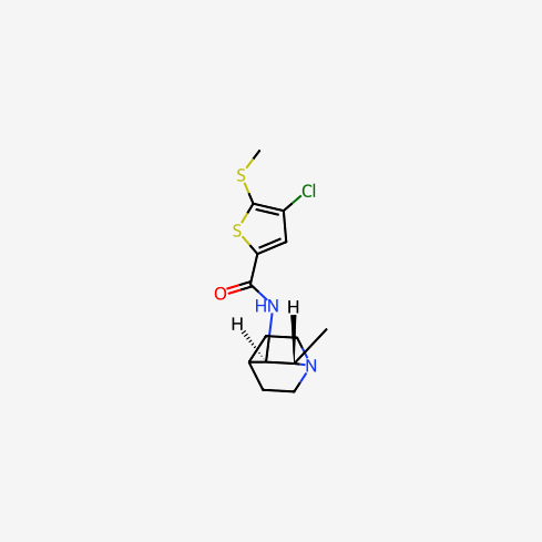 CSc1sc(C(=O)N[C@@H]2C3CCN(CC3)[C@H]2C)cc1Cl